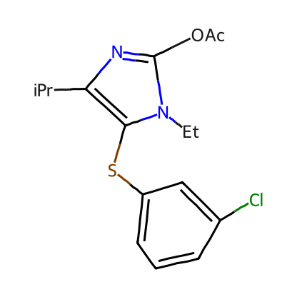 CCn1c(OC(C)=O)nc(C(C)C)c1Sc1cccc(Cl)c1